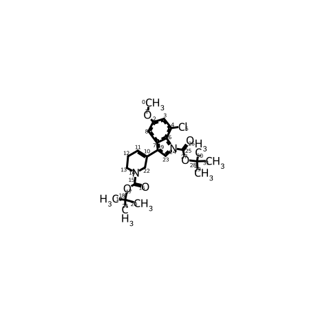 COc1cc(Cl)c2c(c1)c(C1=CCCN(C(=O)OC(C)(C)C)C1)cn2C(=O)OC(C)(C)C